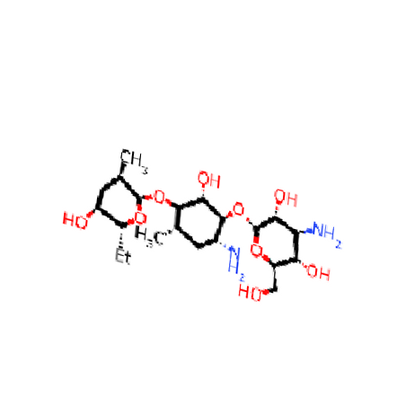 CC[C@H]1O[C@H](OC2[C@@H](C)C[C@@H](N)[C@H](O[C@H]3O[C@H](CO)[C@@H](O)[C@H](N)[C@H]3O)[C@H]2O)[C@H](C)C[C@@H]1O